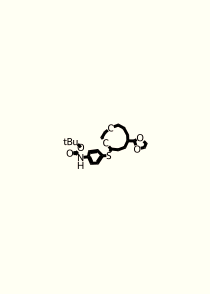 CC(C)(C)OC(=O)Nc1ccc(SC2CCCCCCCC(C3OCCO3)CC2)cc1